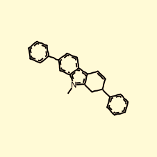 Cn1c2c(c3ccc(-c4ccccc4)cc31)C=CC(c1ccccc1)C2